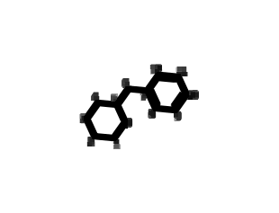 [CH]1CCCCC1Cc1ccccc1